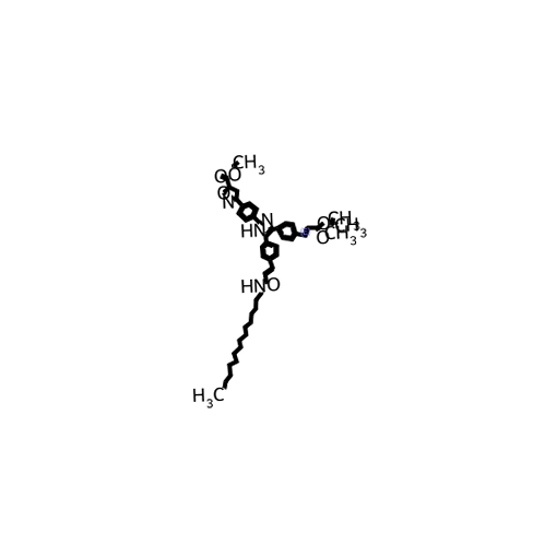 CCCCCCCCCCCCCCCCNC(=O)C=Cc1ccc(-c2[nH]c(-c3ccc(C4=NOC(C(=O)OCC)C4)cc3)nc2-c2ccc(/C=C/C(=O)OC(C)(C)C)cc2)cc1